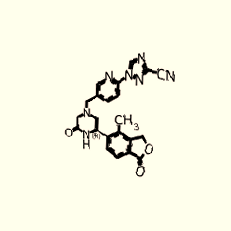 Cc1c([C@@H]2CN(Cc3ccc(-n4cnc(C#N)n4)nc3)CC(=O)N2)ccc2c1COC2=O